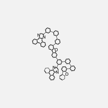 C1=CCC2Oc3c(cccc3-c3ccccc3-c3cccc(-c4cc(-c5ccc6c(c5)oc5c(-c7cccc(-c8cccc(-c9cccc(-c%10cnc%11c%12ccccc%12c%12ccccc%12c%11n%10)c9)c8)c7)cccc56)cc(-c5cnc6c(n5)c5c(c7ccccc76)C=CCC5)c4)c3)C2=C1